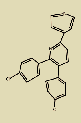 Clc1ccc(-c2ccc(-c3ccncc3)nc2-c2ccc(Cl)cc2)cc1